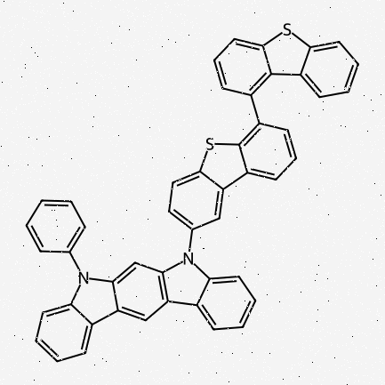 c1ccc(-n2c3ccccc3c3cc4c5ccccc5n(-c5ccc6sc7c(-c8cccc9sc%10ccccc%10c89)cccc7c6c5)c4cc32)cc1